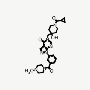 CN1CCN(C(=O)c2cccc(-n3ncc4c(=O)n(CC5(O)CCN(C(=O)C6CC6)CC5)cnc43)c2)CC1